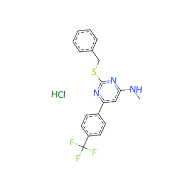 CNc1cc(-c2ccc(C(F)(F)F)cc2)nc(SCc2ccccc2)n1.Cl